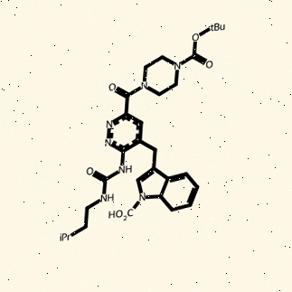 CC(C)CCNC(=O)Nc1nnc(C(=O)N2CCN(C(=O)OC(C)(C)C)CC2)cc1CC1=CN(C(=O)O)C2CC=CC=C12